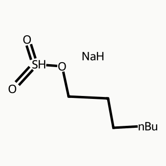 CCCCCCCO[SH](=O)=O.[NaH]